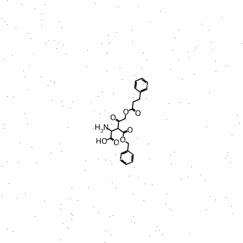 NC(C(=O)O)C(C(=O)COC(=O)CCc1ccccc1)C(=O)OCc1ccccc1